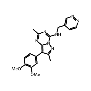 COc1ccc(-c2c(C)nn3c(NCc4ccnnc4)nc(C)nc23)cc1OC